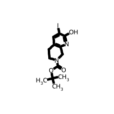 CC(C)(C)OC(=O)N1CCc2cc(I)c(O)nc2C1